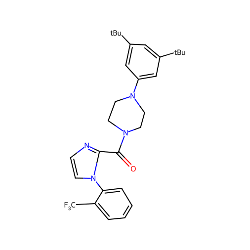 CC(C)(C)c1cc(N2CCN(C(=O)c3nccn3-c3ccccc3C(F)(F)F)CC2)cc(C(C)(C)C)c1